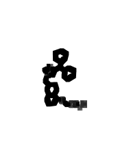 O=C(O)COc1cccc2c1CCC(Cn1cnc(C(c3ccccc3)c3ccccc3)c1)C2